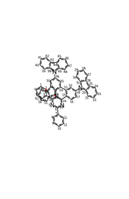 c1ccc(-c2nc(-c3ccccc3)nc(-c3ccc(-n4c5ccccc5c5ccccc54)cc3-c3cc(-n4c5ccccc5c5ccccc54)cc4c3sc3ccccc34)n2)cc1